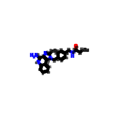 CCCCc1nc2c(N)nc3ccccc3c2n1Cc1ccc(CNC(=O)CC(C)CC)cc1